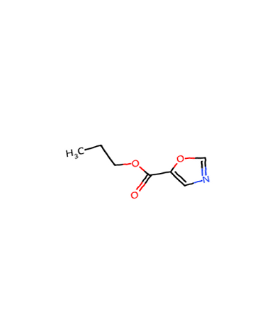 CCCOC(=O)c1cnco1